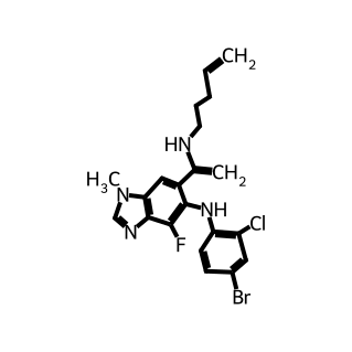 C=CCCCNC(=C)c1cc2c(ncn2C)c(F)c1Nc1ccc(Br)cc1Cl